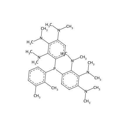 Cc1cccc(P(c2ccc(N(C)C)c(N(C)C)c2N(C)C)c2ccc(N(C)C)c(N(C)C)c2N(C)C)c1C